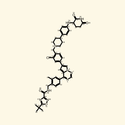 Cc1cc(-c2ncnn3cc(-c4ccc(CN5CCC(c6ccc(NC7CCC(=O)NC7=O)cc6)CC5)c(Cl)c4)cc23)ccc1CNC(=O)c1noc(C(C)(C)C)n1